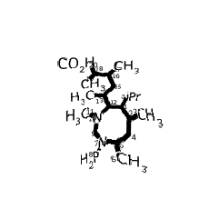 CC(C)C1C(C)CC(C)N(P)CN(C)C1C(C)CC(C)C(C)C(=O)O